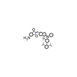 CC(C)c1cccc(C(C)C)c1-c1ccc2c(c1)C(C)(C)c1c(ccc3cc(/C=C4/C(=O)c5ccc(N)cc5C4=O)ccc13)N2c1ccccc1